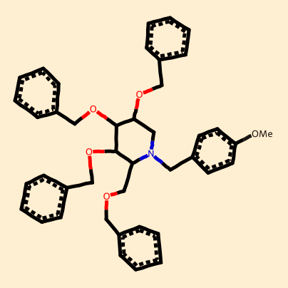 COc1ccc(CN2CC(OCc3ccccc3)C(OCc3ccccc3)C(OCc3ccccc3)C2COCc2ccccc2)cc1